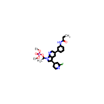 C=CC(=O)Nc1cccc(-c2cnc3c(c2)c(-c2ccnc(F)c2)cn3C(C)OP(=O)(OCC)OCC)c1